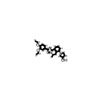 CCCc1c(-c2noc(-c3ccc(OCC)c(OCC)c3)n2)cccc1N1CC[C@@H](O)C1